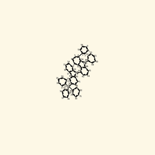 c1ccc(-c2cccc3c4c(-n5c6ccccc6c6cc([Si](c7ccccc7)(c7ccccc7)c7ccccc7)ccc65)cccc4n(-c4ccccc4)c23)cc1